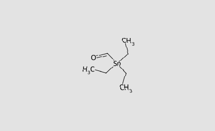 C[CH2][Sn]([CH]=O)([CH2]C)[CH2]C